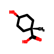 C[C@]1(C(=O)O)CC[C@@H](O)CC1